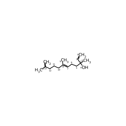 C=CC(C)(O)CC/C=C(\C)CCCC(=C)C